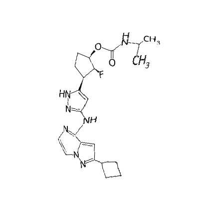 CC(C)NC(=O)O[C@@H]1CC[C@H](c2cc(Nc3nccn4nc(C5CCC5)cc34)n[nH]2)[C@@H]1F